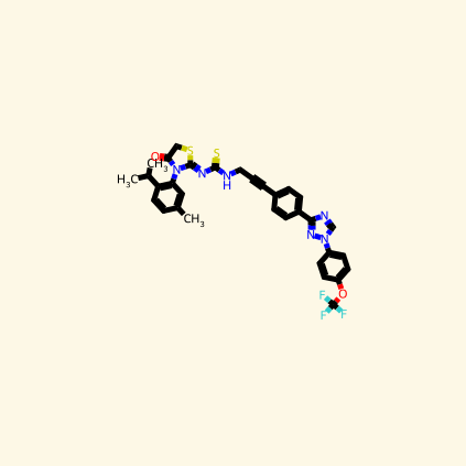 Cc1ccc(C(C)C)c(N2C(=O)CS/C2=N\C(=S)NCC#Cc2ccc(-c3ncn(-c4ccc(OC(F)(F)F)cc4)n3)cc2)c1